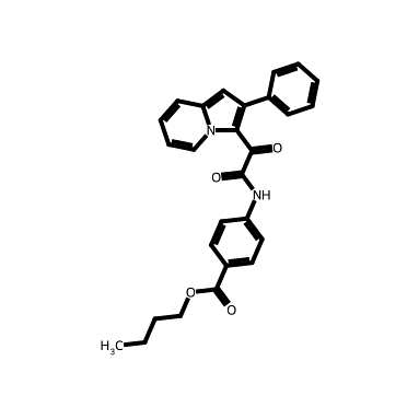 CCCCOC(=O)c1ccc(NC(=O)C(=O)c2c(-c3ccccc3)cc3ccccn23)cc1